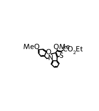 CCOC(=O)c1sc2c(c1OC)c(=O)n(Cc1ccc(OC)cc1)c1ccccc21